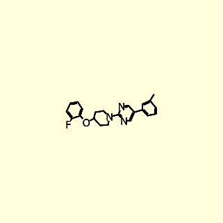 Cc1cccc(-c2cnc(N3CCC(Oc4ccccc4F)CC3)nc2)c1